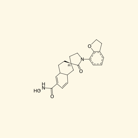 O=C(NO)C1=CC2CC[C@]3(CCN(c4cccc5c4OCC5)C3=O)CC2C=C1